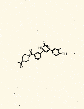 CC(=O)N1CCN(C(=O)c2cccc(-c3cc(-c4ccc(O)c(C)c4)nc(=O)[nH]3)c2)CC1